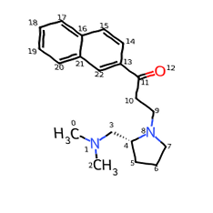 CN(C)C[C@H]1CCCN1CCC(=O)c1ccc2ccccc2c1